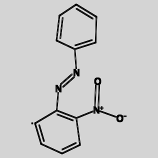 O=[N+]([O-])c1ccc[c]c1N=Nc1ccccc1